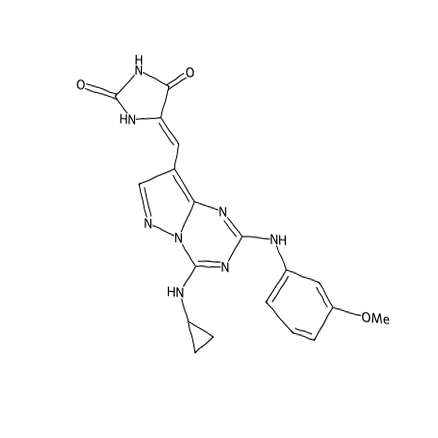 COc1cccc(Nc2nc(NC3CC3)n3ncc(/C=C4\NC(=O)NC4=O)c3n2)c1